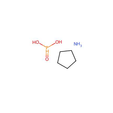 C1CCCC1.N.O=[PH](O)O